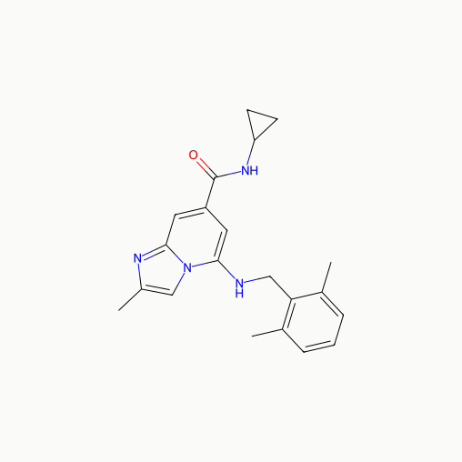 Cc1cn2c(NCc3c(C)cccc3C)cc(C(=O)NC3CC3)cc2n1